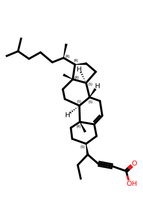 CCC(C#CC(=O)O)[C@H]1CC[C@@]2(C)C(=CC[C@H]3[C@@H]4CC[C@H]([C@H](C)CCCC(C)C)[C@@]4(C)CC[C@@H]32)C1